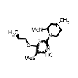 C=CCOc1nc(N2CCN(C)CC2NC)ncc1SC.Cl